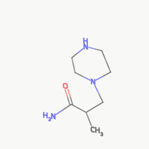 CC(CN1CCNCC1)C(N)=O